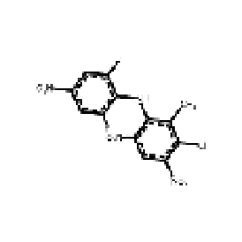 Cc1c(Cl)c([N+](=O)[O-])cc([N+](=O)[O-])c1Nc1c(F)cc([N+](=O)[O-])cc1F